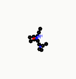 N=C(/C=C(\Nn1c2ccc(-c3ccccc3)cc2c2cc(-c3ccc4c(c3)c3c(n4-c4cccc5ccccc45)C=CC(c4ccccc4)C3)ccc21)c1ccc(-c2ccccc2)cc1)c1ccc(-c2ccccc2)cc1